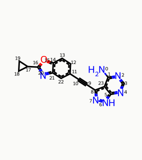 Nc1ncnc2[nH]nc(C#Cc3ccc4oc(C5CC5)nc4c3)c12